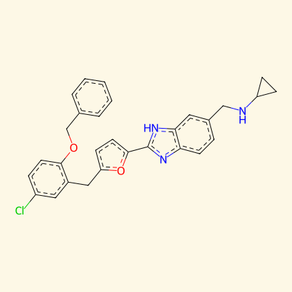 Clc1ccc(OCc2ccccc2)c(Cc2ccc(-c3nc4ccc(CNC5CC5)cc4[nH]3)o2)c1